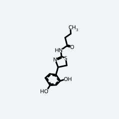 CCCC(=O)NC1=NC(c2ccc(O)cc2O)CS1